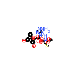 COc1ccc(C(OCC2OC(n3cnc4c(N)ncnc43)C(OC(=O)[C@@H](CCSC)NC(=O)OC(C)(C)C)C2O)(c2ccccc2)c2ccc(OC)cc2)cc1